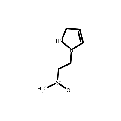 C[S+]([O-])CCN1C=CCN1